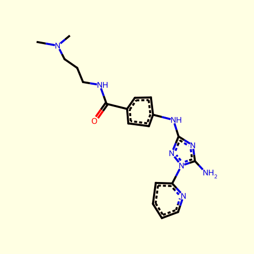 CN(C)CCCNC(=O)c1ccc(Nc2nc(N)n(-c3ccccn3)n2)cc1